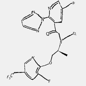 CCN(C(=O)c1cc(F)cnc1-n1nccn1)[C@@H](C)COc1ncc(C(F)(F)F)cc1F